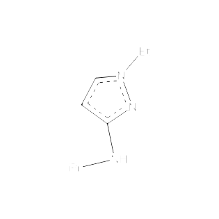 CCn1ccc(NC(C)C)n1